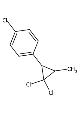 CC1C(c2ccc(Cl)cc2)C1(Cl)Cl